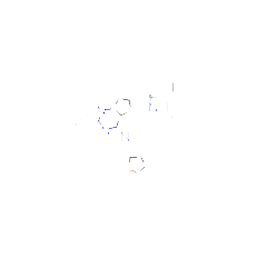 C[C@H](N)Cc1cc2nc(Cl)nc(NCc3cccs3)c2s1